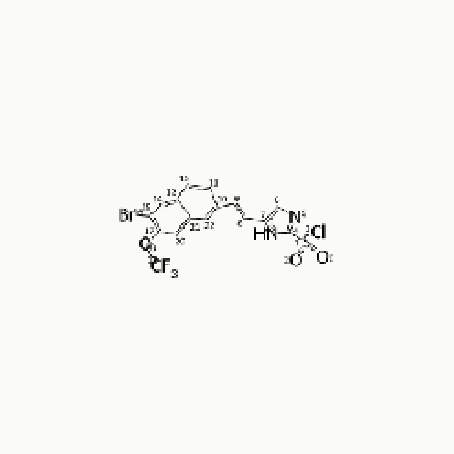 O=S(=O)(Cl)c1ncc(C=Cc2ccc3cc(Br)c(OC(F)(F)F)cc3c2)[nH]1